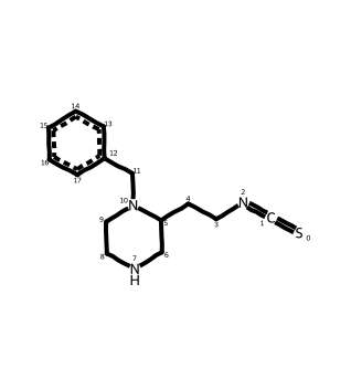 S=C=NCCC1CNCCN1Cc1ccccc1